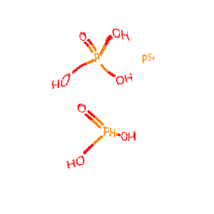 O=P(O)(O)O.O=[PH](O)O.[P+5]